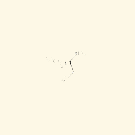 NCCO.[Cu].[Cu].[Cu]